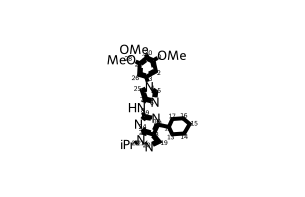 COc1cc(-n2cnc(Nc3nc(C4CCCCC4)c4cnn(C(C)C)c4n3)c2)cc(OC)c1OC